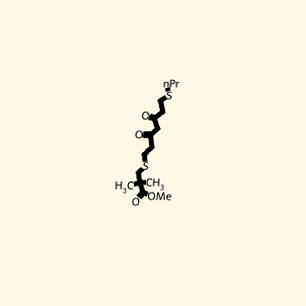 CCCSCCC(=O)CC(=O)CCSCC(C)(C)C(=O)OC